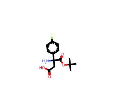 CC(C)(C)OC(=O)C(N)(CC(=O)O)c1ccc(F)cc1